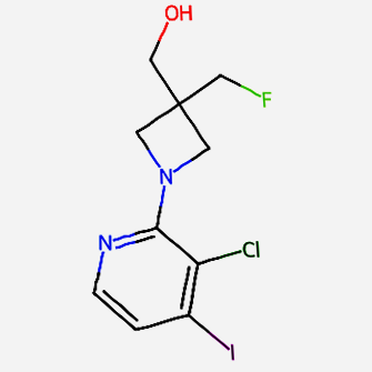 OCC1(CF)CN(c2nccc(I)c2Cl)C1